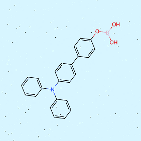 OB(O)Oc1ccc(-c2ccc(N(c3ccccc3)c3ccccc3)cc2)cc1